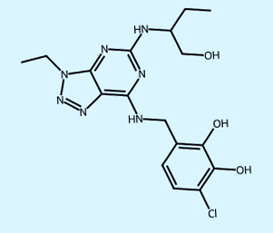 CCC(CO)Nc1nc(NCc2ccc(Cl)c(O)c2O)c2nnn(CC)c2n1